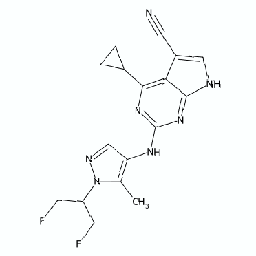 Cc1c(Nc2nc(C3CC3)c3c(C#N)c[nH]c3n2)cnn1C(CF)CF